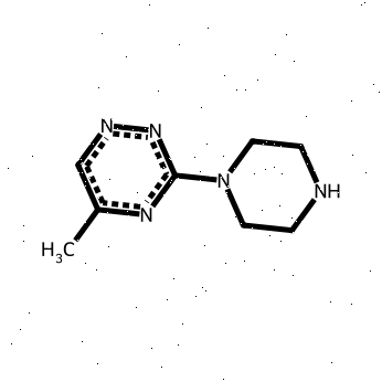 Cc1cnnc(N2CCNCC2)n1